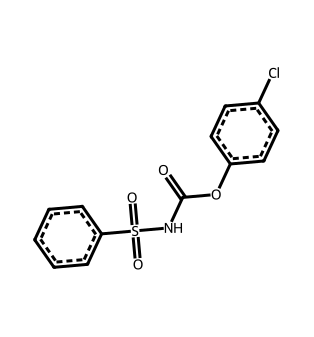 O=C(NS(=O)(=O)c1ccccc1)Oc1ccc(Cl)cc1